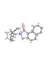 O=C1c2c(ccc3ccccc23)CN1[C@@H]1CN2CCC1CC2